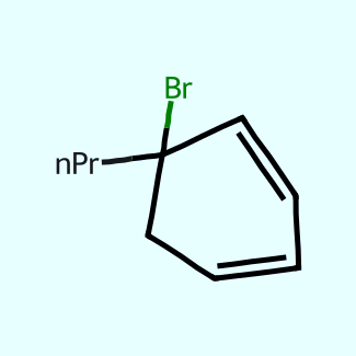 CCCC1(Br)C=CC=CC1